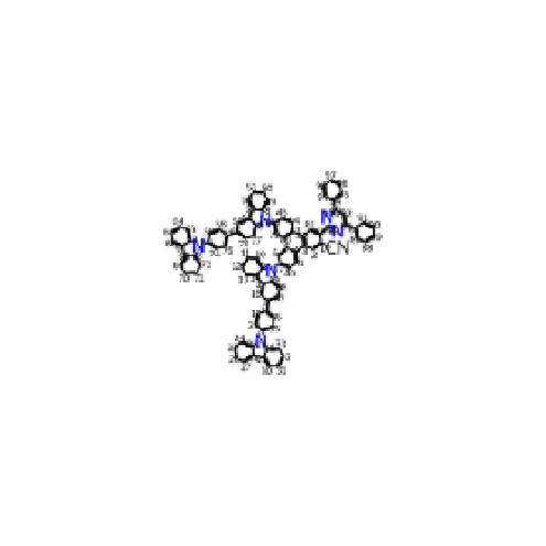 N#Cc1cc(-c2ccc(-n3c4ccccc4c4cc(-c5ccc(-n6c7ccccc7c7ccccc76)cc5)ccc43)cc2)c(-c2ccc(-n3c4ccccc4c4cc(-c5ccc(-n6c7ccccc7c7ccccc76)cc5)ccc43)cc2)cc1-c1nc(-c2ccccc2)cc(-c2ccccc2)n1